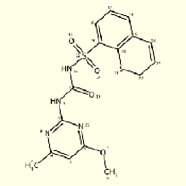 COc1cc(C)nc(NC(=O)NS(=O)(=O)c2cccc3c2SCC=C3)n1